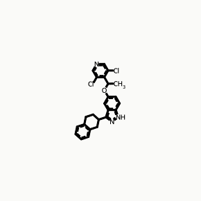 CC(Oc1ccc2[nH]nc(C3CCc4ccccc4C3)c2c1)c1c(Cl)cncc1Cl